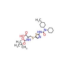 CC(C)(C)OC(=O)N[C@H](CSc1cnc(NC(=O)N(C2CCCCC2)[C@H]2CC[C@H](C)CC2)s1)C(=O)O